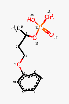 CC(CCOc1ccccc1)OP(=O)(O)O